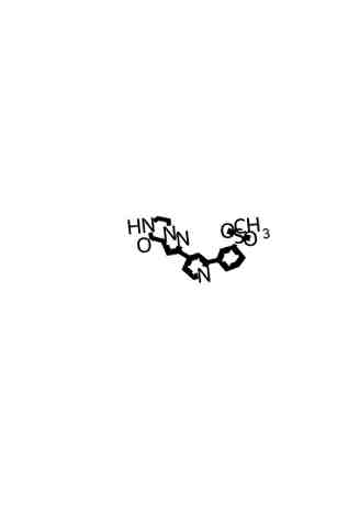 CS(=O)(=O)c1cccc(-c2cc(-c3cc4n(n3)CCNC4=O)ccn2)c1